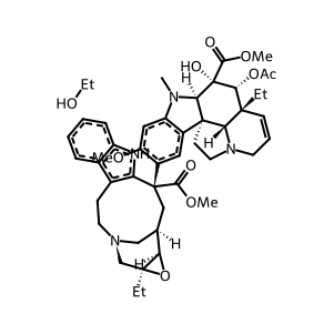 CCO.CC[C@]12C[N@@]3CCc4c([nH]c5ccccc45)[C@@](C(=O)OC)(c4cc5c(cc4OC)N(C)[C@H]4[C@@](O)(C(=O)OC)[C@H](OC(C)=O)[C@]6(CC)C=CCN7CC[C@]54[C@@H]76)C[C@H](C3)[C@H]1O2